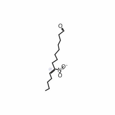 CCCC/C=C(/CCCCCCCC=O)[N+](=O)[O-]